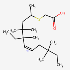 CCC(C)(C)C/C=C\C(C)(CC)C(C)(C)CC(C)SCC(=O)O